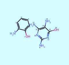 Nc1ccccc1O.Nc1nc(N)c(N)c(O)n1